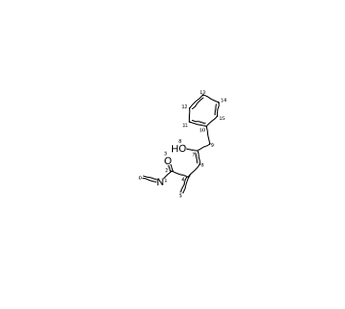 C=NC(=O)C(=C)/C=C(\O)Cc1ccccc1